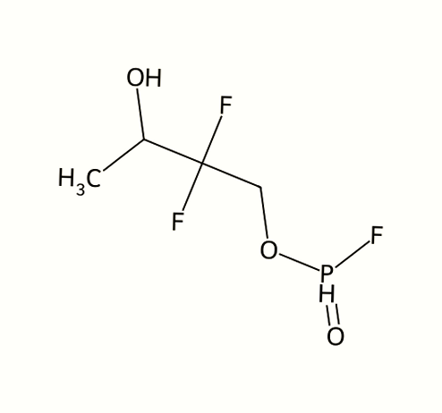 CC(O)C(F)(F)CO[PH](=O)F